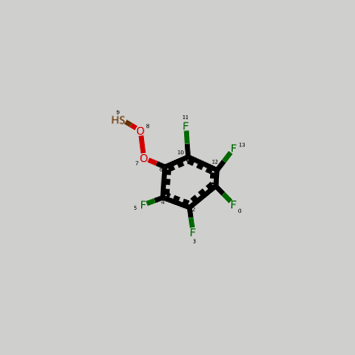 Fc1c(F)c(F)c(OOS)c(F)c1F